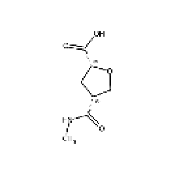 CNC(=O)[C@H]1CO[C@@H](C(=O)O)C1